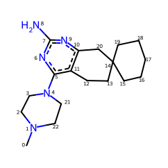 CN1CCN(c2nc(N)nc3c2CCC2(CCCCC2)C3)CC1